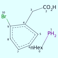 CCCCCCP.O=C(O)Cc1ccccc1Br